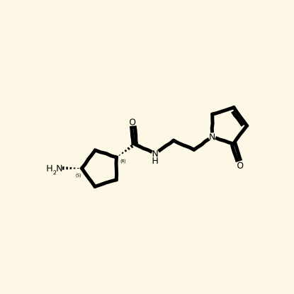 N[C@H]1CC[C@@H](C(=O)NCCN2CC=CC2=O)C1